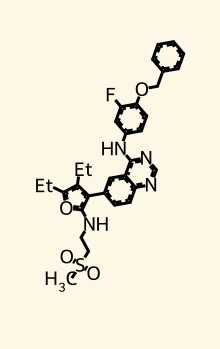 CCc1oc(NCCS(C)(=O)=O)c(-c2ccc3ncnc(Nc4ccc(OCc5ccccc5)c(F)c4)c3c2)c1CC